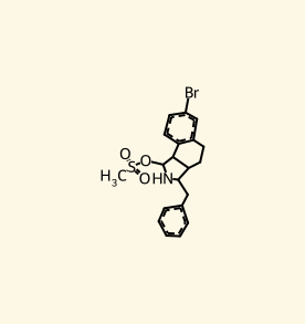 CS(=O)(=O)OC1NC(Cc2ccccc2)C2CCc3cc(Br)ccc3C12